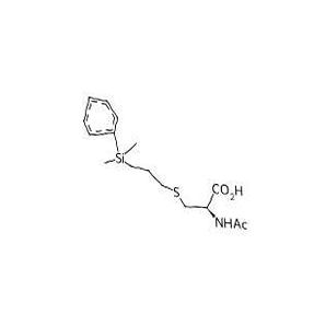 CC(=O)N[C@@H](CSCCC[Si](C)(C)c1ccccc1)C(=O)O